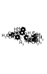 Cc1ccc(-n2nc(C(C)(C)C)cc2NC(=O)N[C@H]2CC[C@@H](Oc3ccc4nnc(N5CC(C(C)C)C(O[SiH3])(C(C)C)C5(C)C(C)C)n4c3)c3ccccc32)cc1